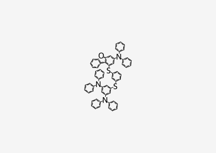 c1ccc(N(c2ccccc2)c2cc(Sc3cccc(Sc4cc(N(c5ccccc5)c5ccccc5)cc5oc6ccccc6c45)c3)cc(N(c3ccccc3)c3ccccc3)c2)cc1